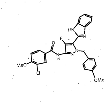 COc1ccc(Cn2nc(NC(=O)c3ccc(OC)c(Cl)c3)c(F)c2-c2nc3ccccc3[nH]2)cc1